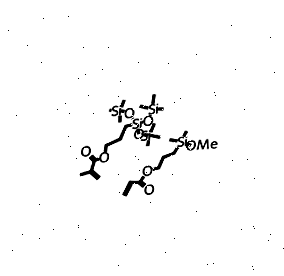 C=C(C)C(=O)OCCC[Si](O[Si](C)(C)C)(O[Si](C)(C)C)O[Si](C)(C)C.C=CC(=O)OCCC[Si](C)(C)OC